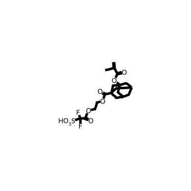 C=C(C)C(=O)OC12CC3CC(C1)CC(C(=O)OCCOC(=O)C(F)(F)S(=O)(=O)O)(C3)C2